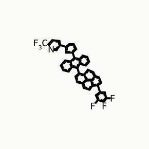 Fc1cc(-c2ccc3ccc4c(-c5c6ccccc6c(-c6cccc(-c7ccc(C(F)(F)F)nc7)c6)c6ccccc56)ccc5ccc2c3c54)cc(F)c1F